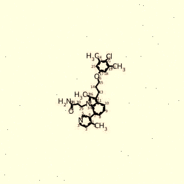 Cc1ccncc1-c1cccc2c(CCCOc3cc(C)c(Cl)c(C)c3)c(C)n(CCC(N)=O)c12